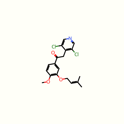 COc1ccc(C(=O)Cc2c(Cl)cncc2Cl)cc1OCC=C(C)C